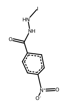 O=C(NNI)c1ccc([N+](=O)[O-])cc1